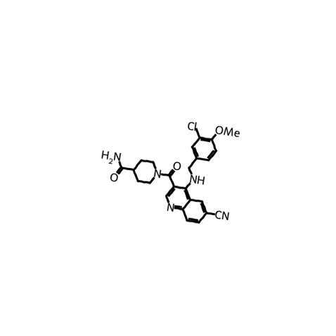 COc1ccc(CNc2c(C(=O)N3CCC(C(N)=O)CC3)cnc3ccc(C#N)cc23)cc1Cl